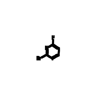 Fc1cc[c]c(Br)n1